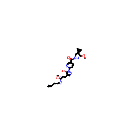 C=CC/C=N\C(=C/Cc1cnn(-c2ccc(C(=O)NCC3(COC)CC3)cn2)c1O)OC